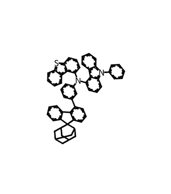 c1ccc(-n2c3ccccc3c3c(N(c4cccc(-c5cccc6c5-c5ccccc5C65C6CC7CC(C6)CC5C7)c4)c4cccc5sc6ccccc6c45)cccc32)cc1